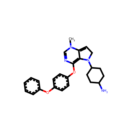 CN1C=NC(Oc2ccc(Oc3ccccc3)cc2)=C2C1=CCN2C1CCC(N)CC1